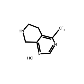 Cl.FC(F)(F)c1ncnc2c1CCNC2